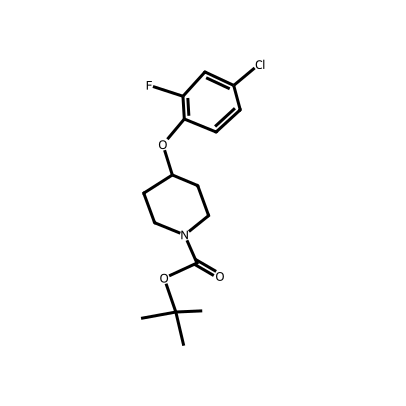 CC(C)(C)OC(=O)N1CCC(Oc2ccc(Cl)cc2F)CC1